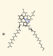 CCCCCCCCCCCCC#CCCc1ccccc1N=C(CCCCC)C(CCCCC)=Nc1ccccc1CCC#CCCCCCCCCCCCC.[Ni]